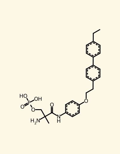 CCc1ccc(-c2ccc(CCOc3ccc(NC(=O)C(C)(N)COP(=O)(O)O)cc3)cc2)cc1